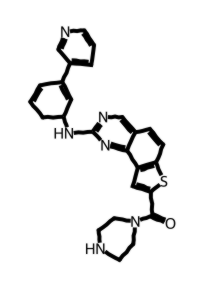 O=C(c1cc2c(ccc3cnc(NC4C=C(c5cccnc5)C=CC4)nc32)s1)N1CCNCC1